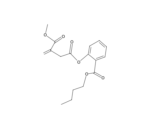 C=C(CC(=O)Oc1ccccc1C(=O)OCCCC)C(=O)OC